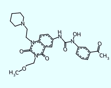 COCCn1c(=O)c2cc(NC(=O)N(O)c3cccc(C(C)=O)c3)ccc2n(CCN2CCCCC2)c1=O